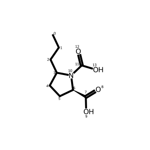 CCCC1CC[C@H](C(=O)O)N1C(=O)O